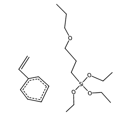 C=Cc1ccccc1.CCCOCCC[Si](OCC)(OCC)OCC